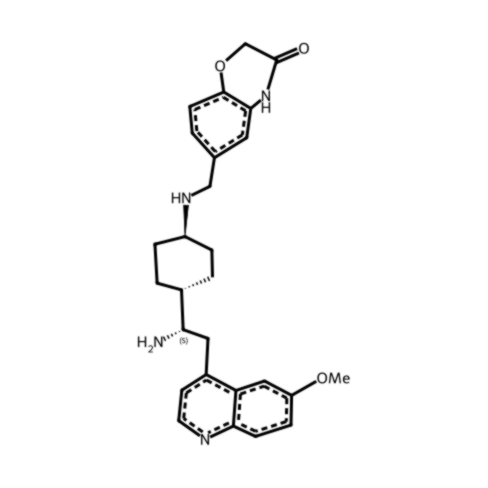 COc1ccc2nccc(C[C@H](N)[C@H]3CC[C@H](NCc4ccc5c(c4)NC(=O)CO5)CC3)c2c1